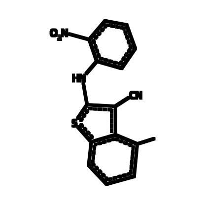 Cc1cccc2sc(Nc3ccccc3[N+](=O)[O-])c(C#N)c12